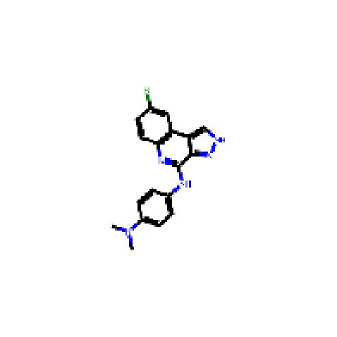 CN(C)c1ccc(Nc2nc3ccc(Br)cc3c3c[nH]nc23)cc1